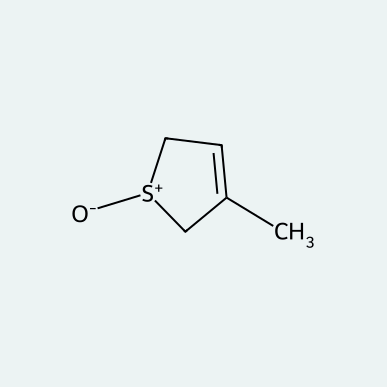 CC1=CC[S+]([O-])C1